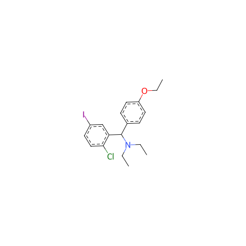 CCOc1ccc(C(c2cc(I)ccc2Cl)N(CC)CC)cc1